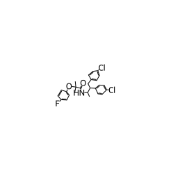 CC(NC(=O)C(C)(C)Oc1ccc(F)cc1)C(Cc1ccc(Cl)cc1)c1ccc(Cl)cc1